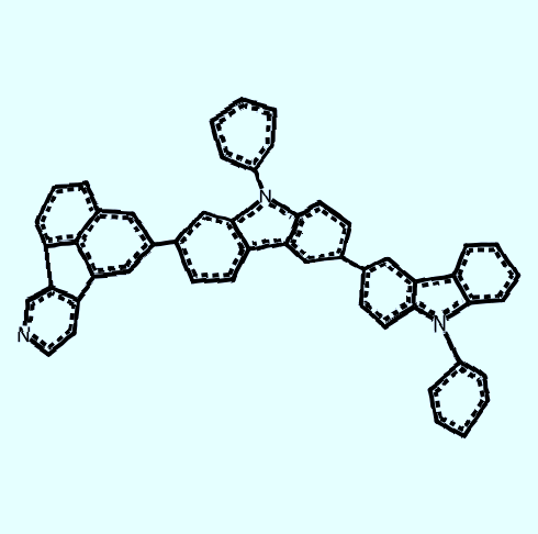 c1ccc(-n2c3ccccc3c3cc(-c4ccc5c(c4)c4ccc(-c6cc7c8c(cccc8c6)-c6cnccc6-7)cc4n5-c4ccccc4)ccc32)cc1